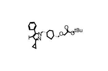 CC(C)(C)OC(=O)COC[C@H]1CC[C@@H](Cn2nc(C3CC3)c(I)c2-c2ccccc2)CC1